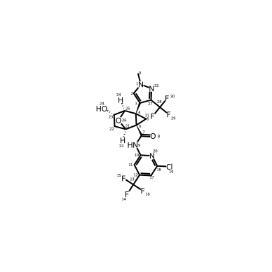 Cn1cc([C@@]23C[C@]2(C(=O)Nc2cc(C(F)(F)F)cc(Cl)n2)[C@H]2C[C@H](O)[C@@H]3O2)c(C(F)(F)F)n1